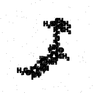 COc1ccc(-c2cnc3c(Nc4cc(C)c(C(=O)NCCOCCN=C(N(C)C)N(C)C)c(F)c4)nccn23)c(F)c1F